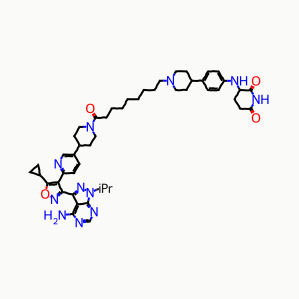 CC(C)n1nc(-c2noc(C3CC3)c2-c2ccc(C3CCN(C(=O)CCCCCCCCN4CCC(c5ccc(NC6CCC(=O)NC6=O)cc5)CC4)CC3)cn2)c2c(N)ncnc21